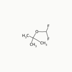 CC(C)(C)OC(F)F